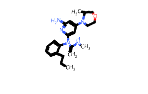 C=C(NC)N(c1cc(N2CCOCC2C)cc(N)n1)c1ccccc1CCC